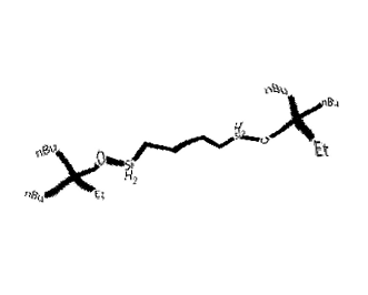 CCCCC(CC)(CCCC)O[SiH2]CCCC[SiH2]OC(CC)(CCCC)CCCC